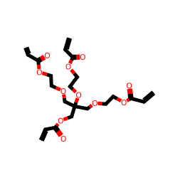 C=CC(=O)OCCOCC(COCCOC(=O)C=C)(COC(=O)C=C)OCCOC(=O)C=C